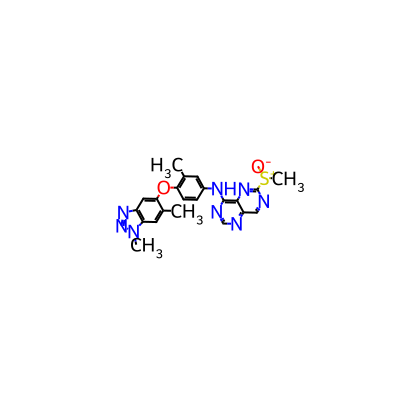 Cc1cc(Nc2ncnc3cnc([S+](C)[O-])nc23)ccc1Oc1cc2nnn(C)c2cc1C